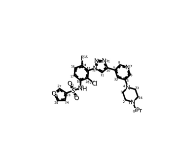 CC(C)N1CCN(c2cncc(-c3cn(-c4c(F)ccc(NS(=O)(=O)c5ccoc5)c4Cl)nn3)c2)CC1